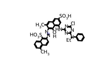 CCN(c1ccccc1)c1nc(Cl)nc(Nc2cc(S(=O)(=O)O)cc3cc(C)c(/N=N/c4ccc5c(C)cccc5c4S(=O)(=O)O)c(O)c23)n1